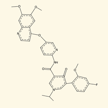 COc1cc2nccc(Oc3ccc(NC(=O)c4cn(C(C)C)cc(-c5ccc(F)cc5OC)c4=O)nc3)c2cc1OC